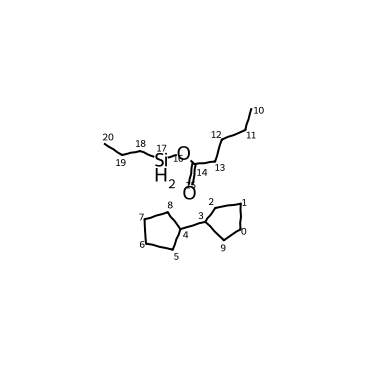 C1CCC(C2CCCC2)C1.CCCCC(=O)O[SiH2]CCC